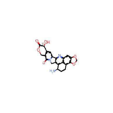 NC1CCc2c3c(cc4nc5c(c1c24)Cn1c-5cc2c(c1=O)COC(=O)[C@H]2O)OCO3